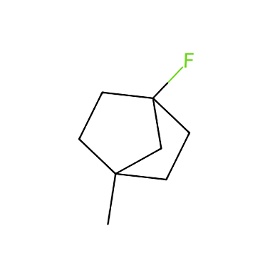 CC12CCC(F)(CC1)C2